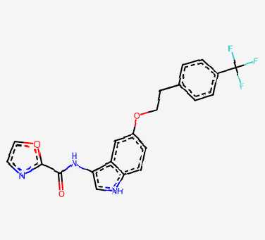 O=C(Nc1c[nH]c2ccc(OCCc3ccc(C(F)(F)F)cc3)cc12)c1ncco1